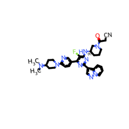 CN(C)C1CCN(c2ccc(-c3nc(-c4cnn5ccccc45)nc(N[C@@H]4CCCN(C(=O)CC#N)C4)c3F)cn2)CC1